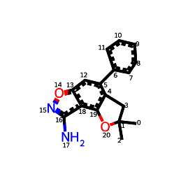 CC1(C)Cc2c(-c3ccccc3)cc3onc(N)c3c2O1